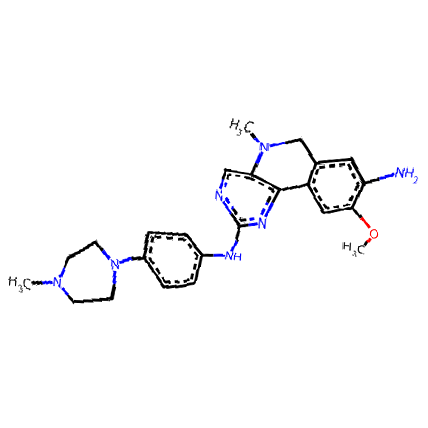 COc1cc2c(cc1N)CN(C)c1cnc(Nc3ccc(N4CCN(C)CC4)cc3)nc1-2